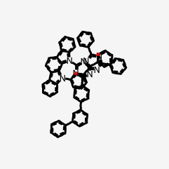 c1ccc(-c2cccc(-c3ccc(-c4nc(-c5ccccc5)nc(-n5c6ccccc6c6ccc7c8ccccc8n(-c8cccc(-c9nc(-c%10ccccc%10)nc(-c%10ccccc%10)n9)c8)c7c65)n4)cc3)c2)cc1